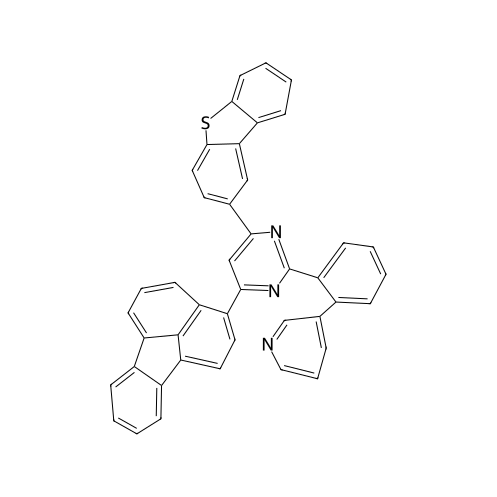 c1cncc(-c2ccccc2-c2nc(-c3ccc4sc5ccccc5c4c3)cc(-c3ccc4c5c(cccc35)-c3ccccc3-4)n2)c1